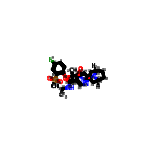 CC(C)(Oc1ccc(F)cc1S(C)(=O)=O)C(=O)N[C@H]1C[C@H]2CC[C@@H](C1)N2c1ccc(C(=O)NCC(F)(F)F)cn1